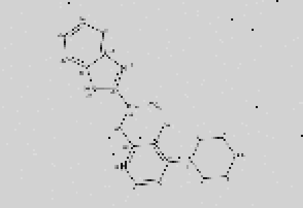 Cc1c(N2CCOCC2)ccnc1C[S+]([O-])c1nc2ccccc2[nH]1